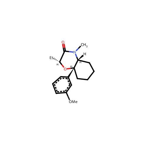 CC[C@H]1O[C@@]2(c3cccc(OC)c3)CCCC[C@H]2N(C)C1=O